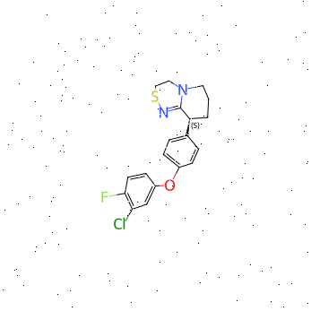 Fc1ccc(Oc2ccc([C@@H]3CCCN4CCSN=C34)cc2)cc1Cl